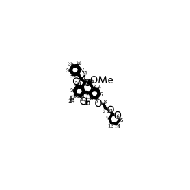 COC(=O)c1ccc(OCCOC2CCCCO2)c(F)c1-c1c(Cl)c(F)cc2c1[C@H](C)[C@@](C)(c1ccccc1)O2